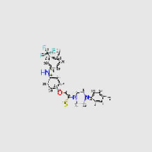 Cc1ccc(N2CCN(C(=S)CO[C@H]3CC[C@H](Nc4ccc(C)c(C(F)(F)F)c4)CC3)CC2)cc1